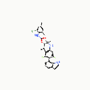 Cc1cc(C)c(NC(=O)O[C@H]2[C@H](C)c3c(cc(F)c(-c4cccc5cc[nH]c45)c3F)NC2(C)C)c(Cl)c1